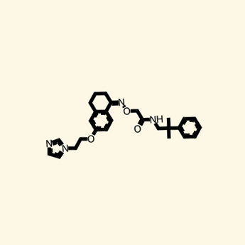 CC(C)(CNC(=O)CO/N=C1/CCCc2cc(OCCn3ccnc3)ccc21)c1ccccc1